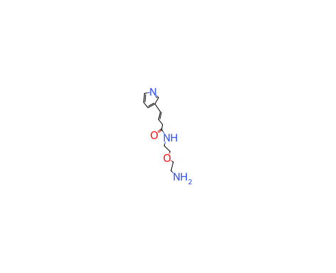 NCCOCCNC(=O)CC=Cc1cccnc1